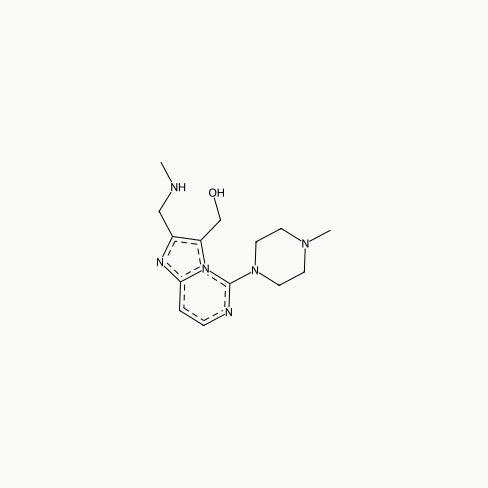 CNCc1nc2ccnc(N3CCN(C)CC3)n2c1CO